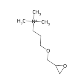 C[N+](C)(C)CCCOCC1CO1